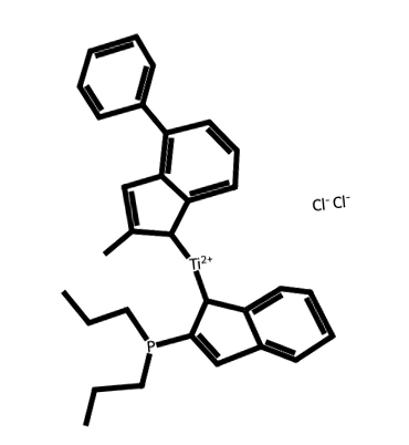 CCCP(CCC)C1=Cc2ccccc2[CH]1[Ti+2][CH]1C(C)=Cc2c(-c3ccccc3)cccc21.[Cl-].[Cl-]